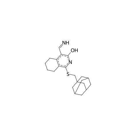 N=Cc1c(O)nc(SCC23CC4CC(CC(C4)C2)C3)c2c1CCCC2